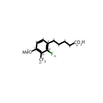 COc1ccc(CCCCC(=O)O)c(F)c1C(F)(F)F